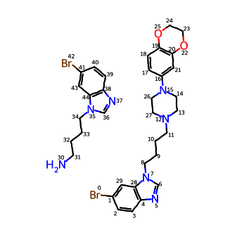 Brc1ccc2ncn(CCCCN3CCN(c4ccc5c(c4)OCCO5)CC3)c2c1.NCCCCn1cnc2ccc(Br)cc21